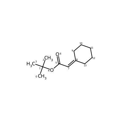 CC(C)(C)OC(=O)C=C1CCCCC1